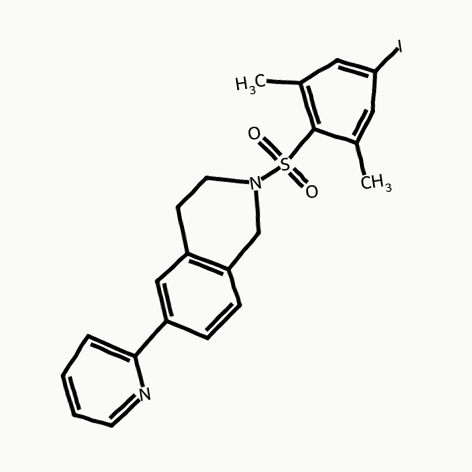 Cc1cc(I)cc(C)c1S(=O)(=O)N1CCc2cc(-c3ccccn3)ccc2C1